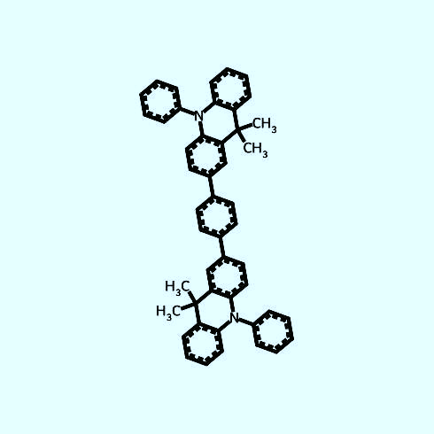 CC1(C)c2ccccc2N(c2ccccc2)c2ccc(-c3ccc(-c4ccc5c(c4)C(C)(C)c4ccccc4N5c4ccccc4)cc3)cc21